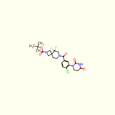 CC(C)(C)OC(=O)N1CC2(CCN(C(=O)c3ccc(Cl)c(N4CCC(=O)NC4=O)c3)CC2(F)F)C1